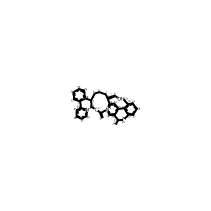 C=C1CC2C(CCC/C(=C/O)c3cc(-c4c(C)cccc4C)c(C(C)C)c[n+]31)c1ccccc1-c1cccc[n+]12